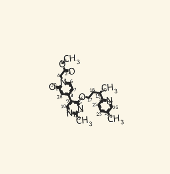 COC(=O)Cn1ccc(-c2cnc(C)nc2OCCC(C)c2ccc(C)cn2)cc1=O